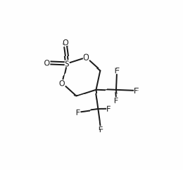 O=S1(=O)OCC(C(F)(F)F)(C(F)(F)F)CO1